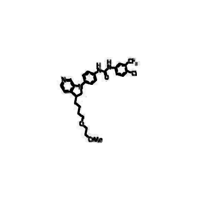 COCCOCCCCC1CN(c2ccc(NC(=O)Nc3ccc(Cl)c(C(F)(F)F)c3)cc2)c2cnccc21